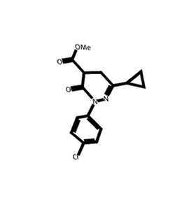 COC(=O)C1CC(C2CC2)=NN(c2ccc(Cl)cc2)C1=O